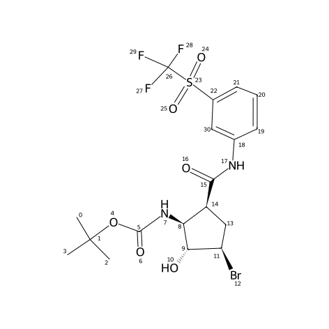 CC(C)(C)OC(=O)N[C@@H]1[C@@H](O)[C@H](Br)C[C@@H]1C(=O)Nc1cccc(S(=O)(=O)C(F)(F)F)c1